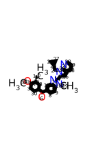 CC[C@H]1CC(C(=O)c2ccc3c(c2)nc(-c2cc4cccnc4n2CC2CC2)n3C)CC[C@H]1OC